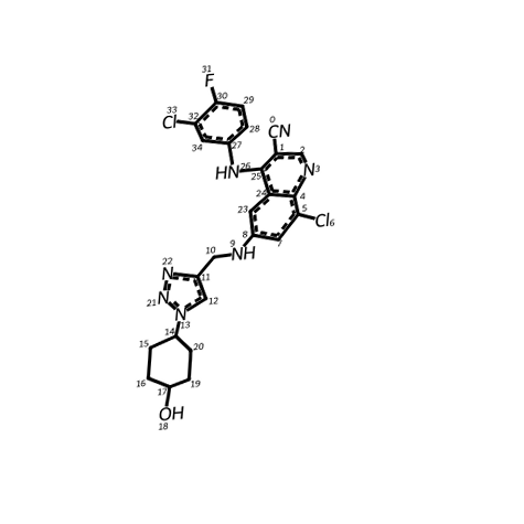 N#Cc1cnc2c(Cl)cc(NCc3cn(C4CCC(O)CC4)nn3)cc2c1Nc1ccc(F)c(Cl)c1